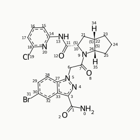 NC(=O)c1nn(CC(=O)N2[C@H](C(=O)Nc3cccc(Cl)n3)C[C@@H]3CCC[C@@H]32)c2ccc(Br)cc12